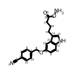 N#Cc1ccc(COc2ccc3[nH]cc(CCCC(=O)ON)c3c2)cc1